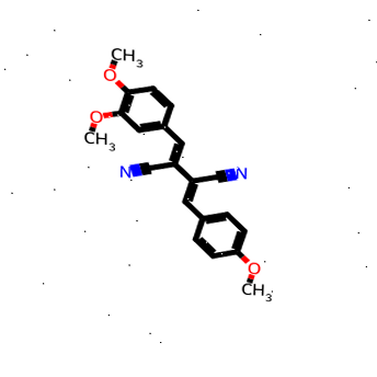 COc1ccc(/C=C(C#N)/C(C#N)=C/c2ccc(OC)c(OC)c2)cc1